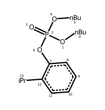 CCCCOP(=O)(OCCCC)Oc1ccccc1C(C)C